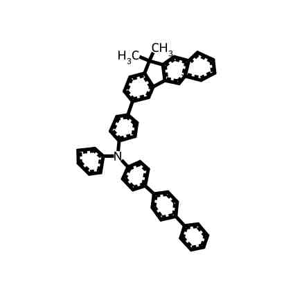 CC1(C)c2ccc(-c3ccc(N(c4ccccc4)c4ccc(-c5ccc(-c6ccccc6)cc5)cc4)cc3)cc2-c2cc3ccccc3cc21